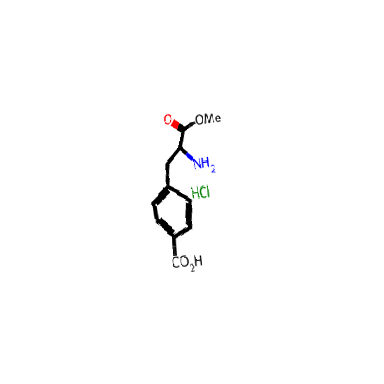 COC(=O)C(N)Cc1ccc(C(=O)O)cc1.Cl